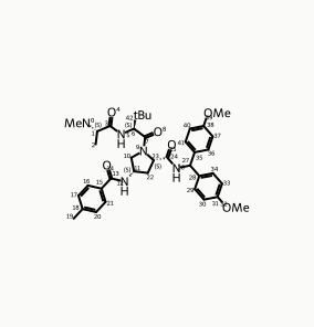 CN[C@@H](C)C(=O)N[C@H](C(=O)N1C[C@@H](NC(=O)c2ccc(C)cc2)C[C@H]1C(=O)NC(c1ccc(OC)cc1)c1ccc(OC)cc1)C(C)(C)C